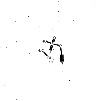 CO.N#COS(=O)(=O)O.[KH]